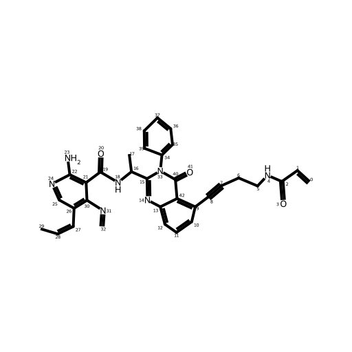 C=CC(=O)NCCC#Cc1cccc2nc(C(C)NC(=O)c3c(N)ncc(/C=C\C)c3N=C)n(-c3ccccc3)c(=O)c12